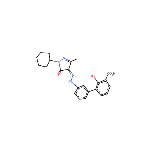 CC1=NN(C2CCCCC2)C(=O)C1=NNc1cccc(-c2cccc(C(=O)O)c2O)c1